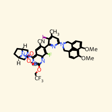 COc1ccc(CN(Cc2ccc(OC)cc2)c2cc(C)c(I)c(-c3c(C#N)cc4c(N5C[C@H]6CC[C@@H](C5)N6C(=O)OC(C)(C)C)nc(OCC(F)(F)F)nc4c3F)n2)cc1